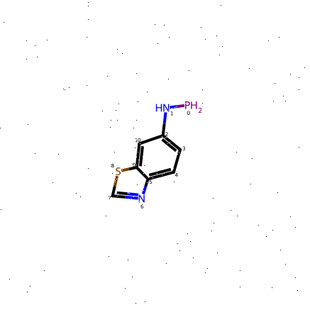 PNc1ccc2ncsc2c1